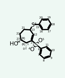 C[C@H]1C(S(=O)(=O)c2ccccc2)=CC(Sc2ccccc2)CC[C@H]1O